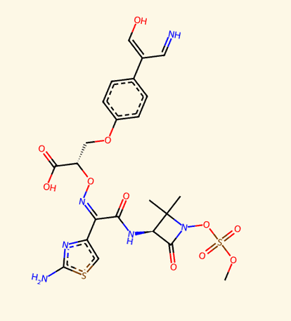 COS(=O)(=O)ON1C(=O)[C@@H](NC(=O)/C(=N\O[C@@H](COc2ccc(/C(C=N)=C/O)cc2)C(=O)O)c2csc(N)n2)C1(C)C